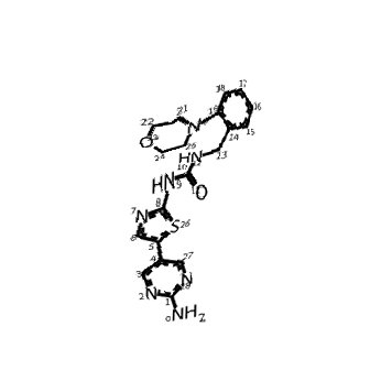 Nc1ncc(-c2cnc(NC(=O)NCc3ccccc3N3CCOCC3)s2)cn1